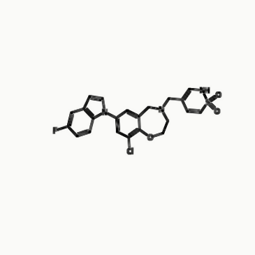 O=S1(=O)C=CC(CN2CCOc3c(Cl)cc(-n4ccc5cc(F)ccc54)cc3C2)=CN1